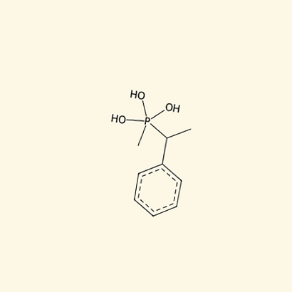 CC(c1ccccc1)P(C)(O)(O)O